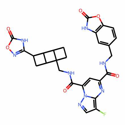 O=C(NCc1ccc2oc(=O)[nH]c2c1)c1cc(C(=O)NCC23C4C5C2C2C3C4C52c2noc(=O)[nH]2)n2ncc(F)c2n1